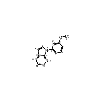 CCOc1cccc(-n2cnc3nccnc32)n1